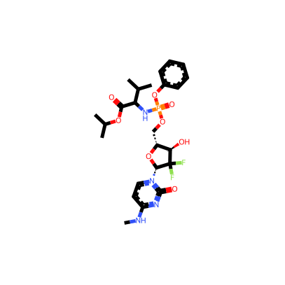 CNc1ccn([C@@H]2O[C@H](COP(=O)(NC(C(=O)OC(C)C)C(C)C)Oc3ccccc3)[C@@H](O)C2(F)F)c(=O)n1